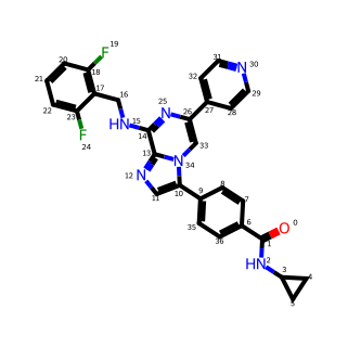 O=C(NC1CC1)c1ccc(-c2cnc3c(NCc4c(F)cccc4F)nc(-c4ccncc4)cn23)cc1